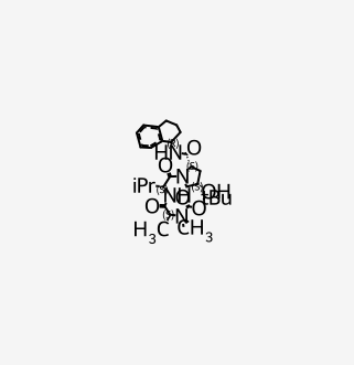 CC(C)[C@H](NC(=O)[C@H](C)N(C)C(=O)OC(C)(C)C)C(=O)N1C[C@@H](O)C[C@H]1C(=O)N[C@@H]1CCCc2ccccc21